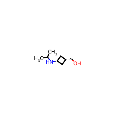 CC(C)N[C@H]1C[C@H](CO)C1